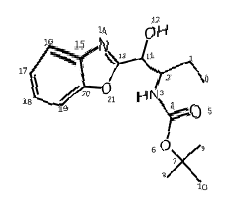 CCC(NC(=O)OC(C)(C)C)C(O)c1nc2ccccc2o1